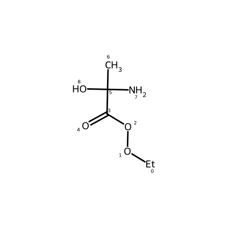 CCOOC(=O)C(C)(N)O